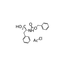 CC(=O)Cl.O=C(N[C@@H](Cc1ccccc1)C(=O)O)OCc1ccccc1